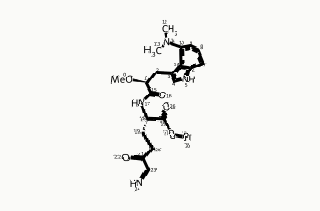 CO[C@@H](Cc1c[nH]c2cccc(N(C)C)c12)C(=O)N[C@@H](CCC(=O)C=N)C(=O)OC(C)C